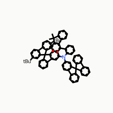 CC(C)(C)c1ccc2c(c1)C1(c3ccccc3-c3cc(N(c4ccc5c(c4)C4(c6ccccc6-c6ccccc64)c4ccccc4-5)c4ccccc4-c4cccc5c4-c4ccccc4C5(C)C)ccc31)c1cc(C(C)(C)C)ccc1-2